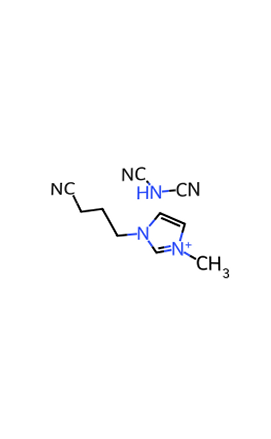 C[n+]1ccn(CCCC#N)c1.N#CNC#N